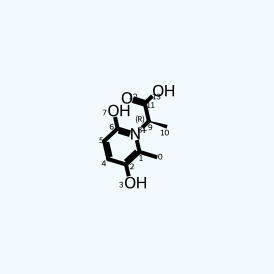 Cc1c(O)ccc(O)[n+]1[C@H](C)C(=O)O